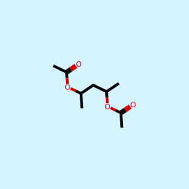 CC(=O)OC(C)CC(C)OC(C)=O